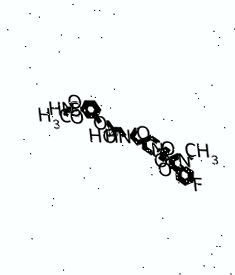 CCn1cc(S(=O)(=O)N2CCC3(CC2)CC(NC[C@H](O)COc2cccc(S(=O)(=O)NC)c2)CO3)c(=O)c2ccc(F)cc21